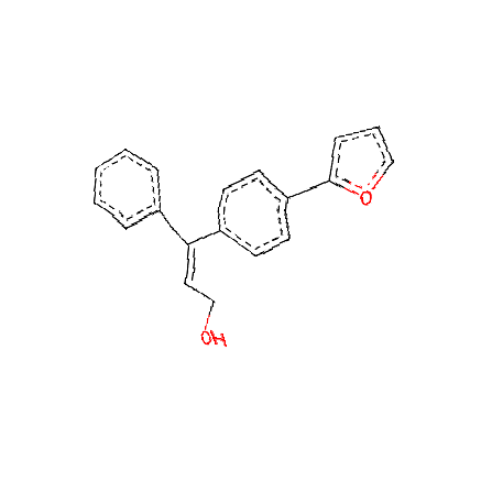 OCC=C(c1ccccc1)c1ccc(-c2ccco2)cc1